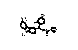 CCn1c2ccc(/C(=N/OC(=O)n3ccnc3)c3ccc(O)cc3C)cc2c2cc([N+](=O)[O-])ccc21